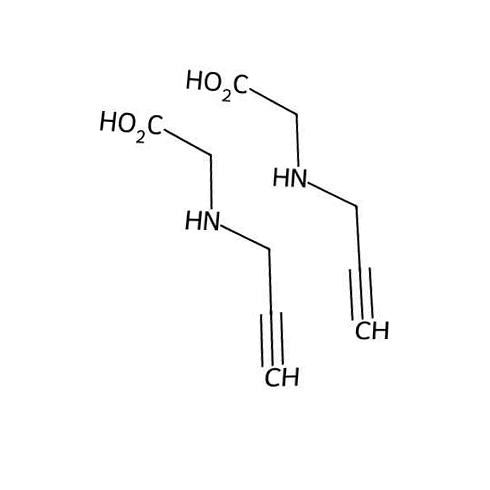 C#CCNCC(=O)O.C#CCNCC(=O)O